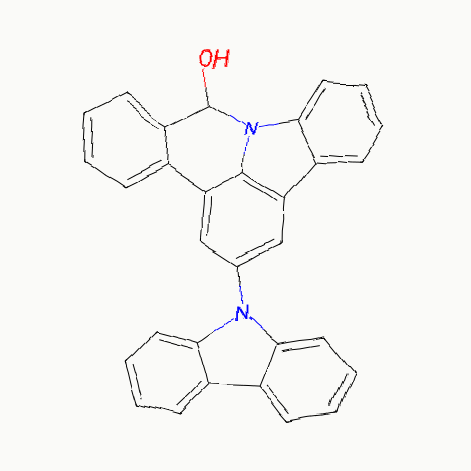 OC1c2ccccc2-c2cc(-n3c4ccccc4c4ccccc43)cc3c4ccccc4n1c23